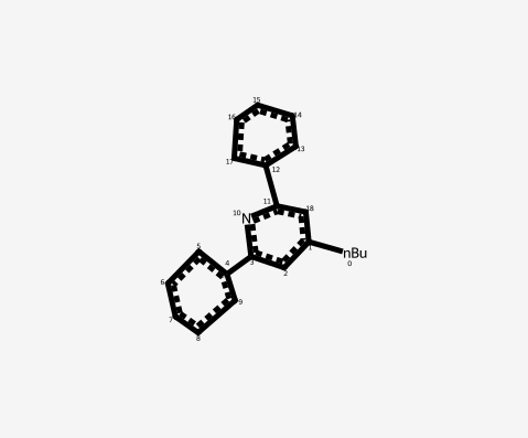 CCCCc1cc(-c2ccccc2)nc(-c2ccccc2)c1